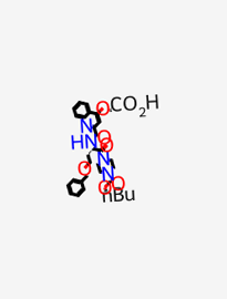 CCCCOC(=O)N1CCN(C(=O)[C@H](CCOCc2ccccc2)NC(=O)c2cc(OCC(=O)O)c3ccccc3n2)CC1